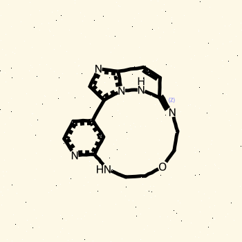 C1=Cc2ncc3n2N/C1=N\CCOCCNc1cc-3ccn1